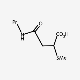 CSC(CC(=O)NC(C)C)C(=O)O